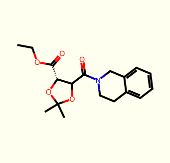 CCOC(=O)[C@H]1OC(C)(C)OC1C(=O)N1CCc2ccccc2C1